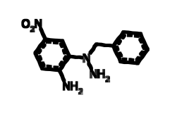 Nc1ccc([N+](=O)[O-])cc1N(N)Cc1ccccc1